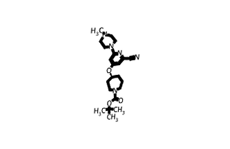 CN1CCN(c2cc(O[C@H]3CCCN(C(=O)OC(C)(C)C)CC3)cc(C#N)n2)CC1